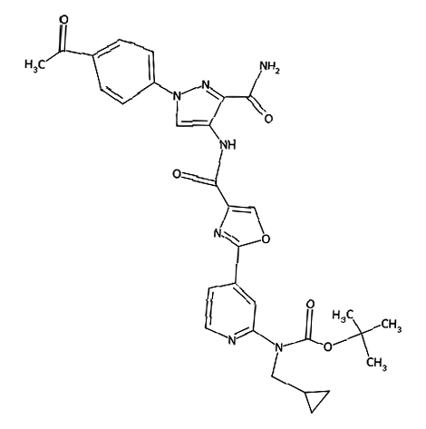 CC(=O)c1ccc(-n2cc(NC(=O)c3coc(-c4ccnc(N(CC5CC5)C(=O)OC(C)(C)C)c4)n3)c(C(N)=O)n2)cc1